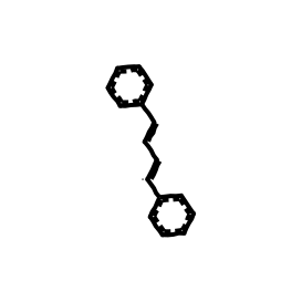 [C](=CC=Cc1ccccc1)c1ccccc1